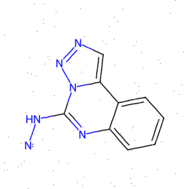 [N]Nc1nc2ccccc2c2cnnn12